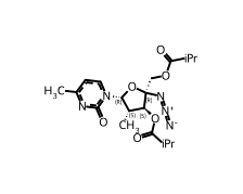 Cc1ccn([C@@H]2O[C@@](COC(=O)C(C)C)(N=[N+]=[N-])[C@@H](OC(=O)C(C)C)[C@@H]2C)c(=O)n1